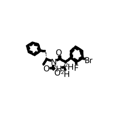 [2H]C([2H])([2H])[C@H](C(=O)N1C(=O)OC[C@@H]1Cc1ccccc1)c1cccc(Br)c1F